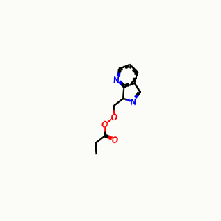 CCC(=O)OOCC1N=Cc2cccnc21